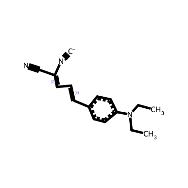 [C-]#[N+]/C(C#N)=C\C=C\c1ccc(N(CC)CC)cc1